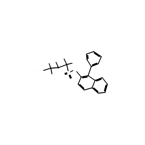 O=S(=O)(Oc1ccc2ccccc2c1-c1ccccc1)C(F)(F)C(F)(F)C(F)(F)C(F)(F)F